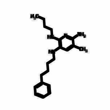 CCCCNc1nc(N)c(C)cc1NCCCCc1ccccc1